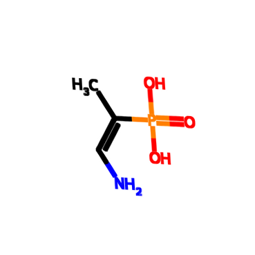 CC(=CN)P(=O)(O)O